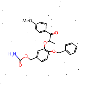 COc1ccc(C(=O)C(C)Oc2cc(COC(N)=O)ccc2OCc2ccccc2)cc1